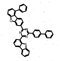 c1ccc(-c2ccc(-c3nc(-c4ccc5c(c4)oc4cccc(-c6ccccc6)c45)nc(-c4cccc5c4sc4ccccc45)n3)cc2)cc1